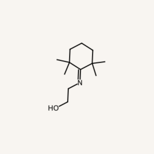 CC1(C)CCCC(C)(C)C1=NCCO